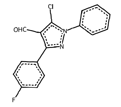 O=Cc1c(-c2ccc(F)cc2)nn(-c2ccccc2)c1Cl